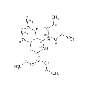 CCO[SiH](OCC)C(CCOC)NC(CCOC)[SiH](OCC)OCC